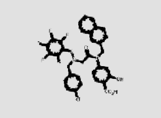 O=C(O)c1ccc(N(Cc2ccc3ccccc3c2)C(=O)CN(Cc2ccc(Cl)cc2)Sc2c(F)c(F)c(F)c(F)c2F)cc1O